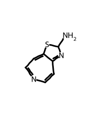 NC1N=C2C=CN=CC=C2S1